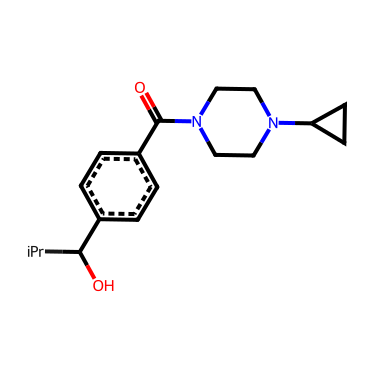 CC(C)C(O)c1ccc(C(=O)N2CCN(C3CC3)CC2)cc1